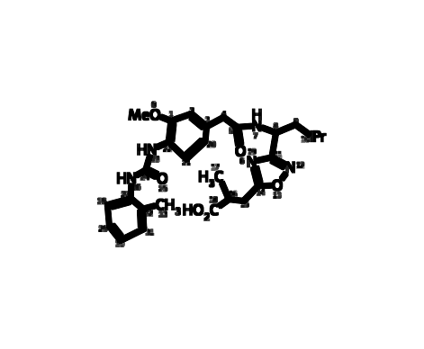 COc1cc(CC(=O)NC(CC(C)C)c2noc(CC(C)C(=O)O)n2)ccc1NC(=O)Nc1ccccc1C